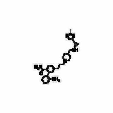 Cc1ncc(C2CC2NCC2CCN(CCCc3ccc(C(N)=O)c(-c4ccccc4N)c3)CC2)s1